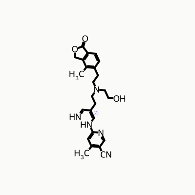 Cc1cc(N/C=C(\C=N)CCN(CCO)CCc2ccc3c(c2C)COC3=O)ncc1C#N